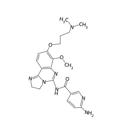 COc1c(OCCCN(C)C)ccc2c1N=C(NC(=O)c1ccc(N)nc1)N1CCN=C21